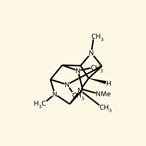 CNC1C2N(C)C3C(C4[C@H](C(N4C)N3C)N2C)N1C